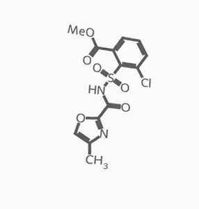 COC(=O)c1cccc(Cl)c1S(=O)(=O)NC(=O)c1nc(C)co1